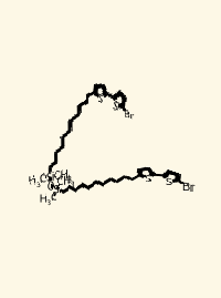 C[Si](C)(CCCCCCCCCCCc1ccc(-c2ccc(Br)s2)s1)O[Si](C)(C)CCCCCCCCCCCc1ccc(-c2ccc(Br)s2)s1